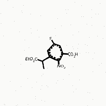 CCOC(=O)C(C)c1cc(F)cc(C(=O)O)c1[N+](=O)[O-]